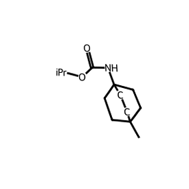 CC(C)OC(=O)NC12CCC(C)(CC1)CC2